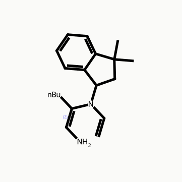 C=CN(/C(=C\N)CCCC)C1CC(C)(C)c2ccccc21